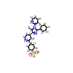 Cc1c(-c2ccnc(-c3ccc(S(C)(=O)=O)cc3)c2)nc(-c2ccccc2)n1-c1ccccn1